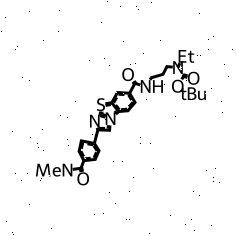 CCN(CCCNC(=O)c1ccc2c(c1)sc1nc(-c3ccc(C(=O)NC)cc3)cn12)C(=O)OC(C)(C)C